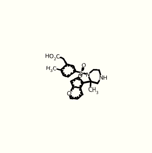 Cc1ccc(S(=O)(=O)N2CCNCC2(C)c2ccc3occcc2-3)cc1CC(=O)O